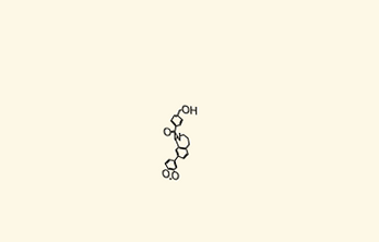 O=C(c1ccc(CO)cc1)N1CCCc2ccc(-c3ccc4c(c3)OCO4)cc2C1